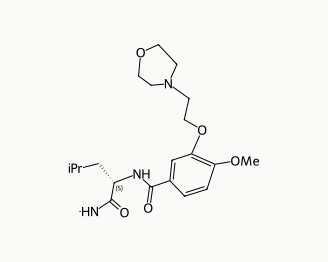 COc1ccc(C(=O)N[C@@H](CC(C)C)C([NH])=O)cc1OCCN1CCOCC1